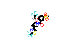 C[C@@H](Oc1ccc(S(C)(=O)=O)cc1C(=O)N1CC2CC2(c2csc(C(F)(F)F)n2)C1)C(F)(F)F